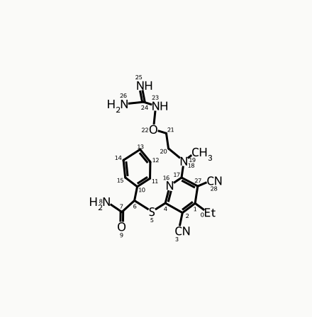 CCc1c(C#N)c(SC(C(N)=O)c2ccccc2)nc(N(C)CCONC(=N)N)c1C#N